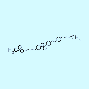 C=CC(=O)OCCCCCCc1ccc(OC(=O)C2CCC(CCc3ccc(CCCCCC)cc3)CC2)cc1